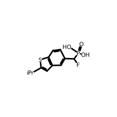 CC(C)c1cc2cc(C(F)P(=O)(O)O)ccc2s1